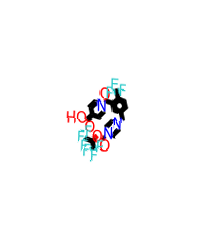 O=C(O)C1CCN(C(=O)c2cc(CN3CCN(C(=O)OC(C(F)(F)F)C(F)(F)F)CC3)ccc2C(F)(F)F)CC1